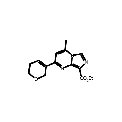 CCOC(=O)c1ncn2c(C)cc(C3=CCCOC3)nc12